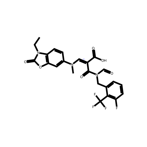 CCn1c(=O)oc2cc(N(C)/C=C(/C(=O)O)C(=O)N(C=O)Cc3cccc(F)c3C(F)(F)F)ccc21